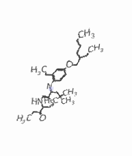 CCCCC(CC)COc1ccc(/N=C(\CC(C)(C)C)C2=CNC(C(=O)CC)CS2)c(CC)c1